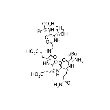 CC[C@H](C)[C@H](N)C(=O)N[C@@H](CCC(N)=O)C(=O)N[C@@H](CCC(=O)O)C(=O)N[C@@H](CCC(=O)O)C(=O)NCC(=O)N[C@H](C(=O)N[C@H](C(=O)O)C(C)C)[C@@H](C)O